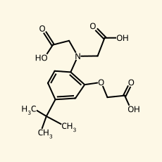 CC(C)(C)c1ccc(N(CC(=O)O)CC(=O)O)c(OCC(=O)O)c1